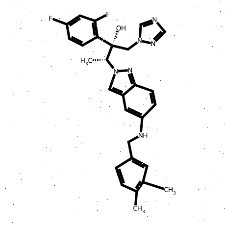 Cc1ccc(CNc2ccc3nn([C@H](C)[C@](O)(Cn4cncn4)c4ccc(F)cc4F)cc3c2)cc1C